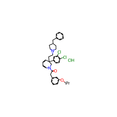 CC(C)Oc1cccc(CC(=O)N2C=CC=CC(CCN3CCC(Cc4ccccc4)CC3)(c3ccc(Cl)c(Cl)c3)C2)c1.Cl